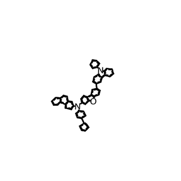 c1ccc(-c2ccc(N(c3ccc4c(ccc5ccccc54)c3)c3ccc4c(c3)oc3ccc(-c5ccc6c(c5)c5ccccc5n6-c5ccccc5)cc34)cc2)cc1